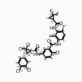 O=C(Nc1ccc(F)c(NC(=O)C2CC2(F)F)c1F)c1cc(NC(=O)[C@H]2[C@H](c3ccc(Cl)c(Cl)c3)C2(Cl)Cl)ccc1Cl